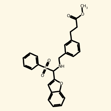 COC(=O)CCc1cccc(CNC(c2cc3ccccc3o2)S(=O)(=O)c2ccccc2)c1